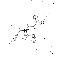 COC(=O)CCN(CC#N)C(C)OC